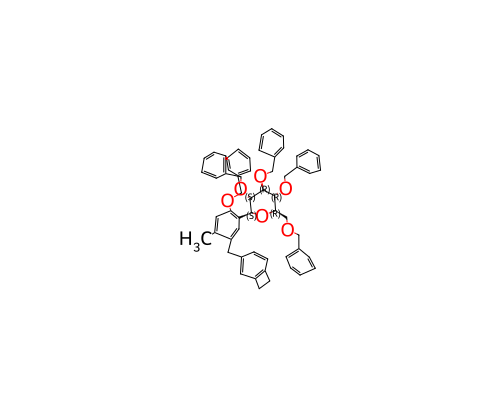 Cc1cc(OCc2ccccc2)c([C@@H]2O[C@H](COCc3ccccc3)[C@@H](OCc3ccccc3)[C@H](OCc3ccccc3)[C@H]2OCc2ccccc2)cc1Cc1ccc2c(c1)CC2